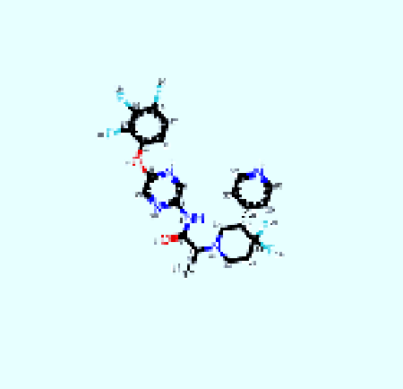 CC(C(=O)Nc1cnc(Oc2ccc(F)c(F)c2F)cn1)N1CCC(F)(F)[C@@H](c2ccncc2)C1